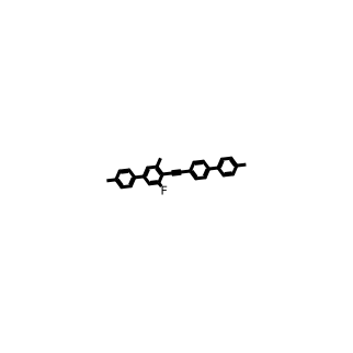 Cc1ccc(-c2ccc(C#Cc3c(C)cc(-c4ccc(C)cc4)cc3F)cc2)cc1